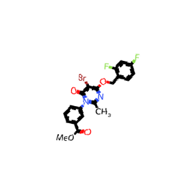 COC(=O)c1cccc(-n2c(C)nc(OCc3ccc(F)cc3F)c(Br)c2=O)c1